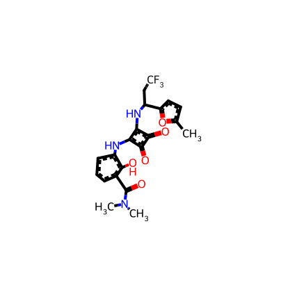 Cc1ccc(C(CC(F)(F)F)Nc2c(Nc3cccc(C(=O)N(C)C)c3O)c(=O)c2=O)o1